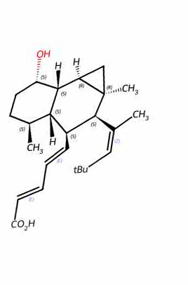 C/C(=C/C(C)(C)C)[C@H]1[C@@H](/C=C/C=C/C(=O)O)[C@H]2[C@@H]([C@H]3C[C@]31C)[C@@H](O)CC[C@@H]2C